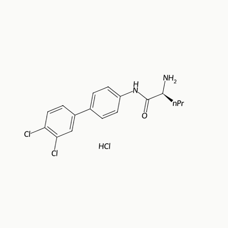 CCC[C@H](N)C(=O)Nc1ccc(-c2ccc(Cl)c(Cl)c2)cc1.Cl